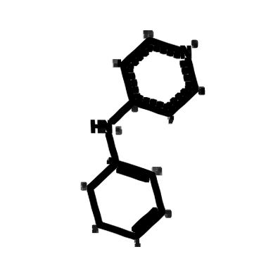 C1=CCCC(Nc2ccncc2)=C1